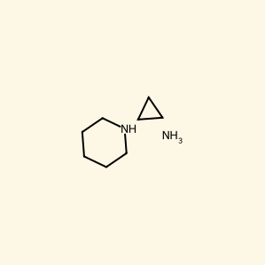 C1CC1.C1CCNCC1.N